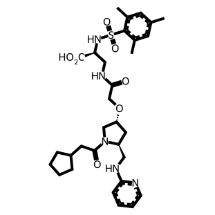 Cc1cc(C)c(S(=O)(=O)N[C@@H](CNC(=O)CO[C@@H]2C[C@@H](CNc3ccccn3)N(C(=O)CC3CCCC3)C2)C(=O)O)c(C)c1